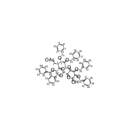 CC(=O)OC[C@H]1[C@H](OCc2ccccc2)[C@@H](OCc2ccccc2)[C@H](O[C@H]2[C@H](OCc3ccccc3)[C@@H](OCc3ccccc3)[C@@H](O)O[C@@H]2COCc2ccccc2)O[C@@H]1COCc1ccccc1